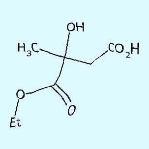 CCOC(=O)C(C)(O)CC(=O)O